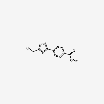 COC(=O)c1ccc(-c2nc(CCl)cs2)cc1